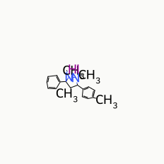 Cc1ccc(C2CC(c3ccccc3C)N(C)N2C)cc1.I